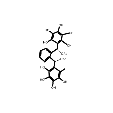 CC(=O)O[C@H](c1ccccc1[C@H](OC(C)=O)c1c(C)c(O)c(O)c(O)c1O)c1c(O)c(O)c(O)c(O)c1O